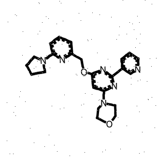 c1cncc(-c2nc(OCc3cccc(N4CCCC4)n3)cc(N3CCOCC3)n2)c1